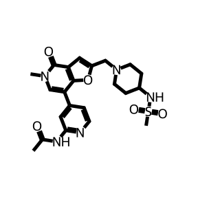 CC(=O)Nc1cc(-c2cn(C)c(=O)c3cc(CN4CCC(NS(C)(=O)=O)CC4)oc23)ccn1